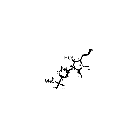 C=CCC1C(O)N(c2cc(C(C)(C)SC)on2)C(=O)N1C